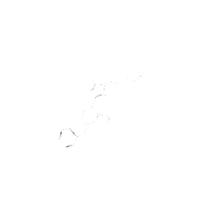 CC[C@@]1(C)CN(Cc2ccccc2)CCN1c1cc(C)n(COCC[Si](C)(C)C)n1